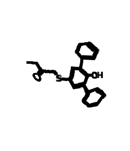 CCC(=O)CSc1cc(-c2ccccc2)c(O)c(-c2ccccc2)c1